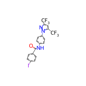 O=C(Nc1ccc(-n2nc(C(F)(F)F)cc2C(F)(F)F)cc1)c1ccc(I)cc1